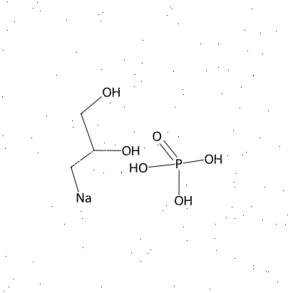 O=P(O)(O)O.OCC(O)[CH2][Na]